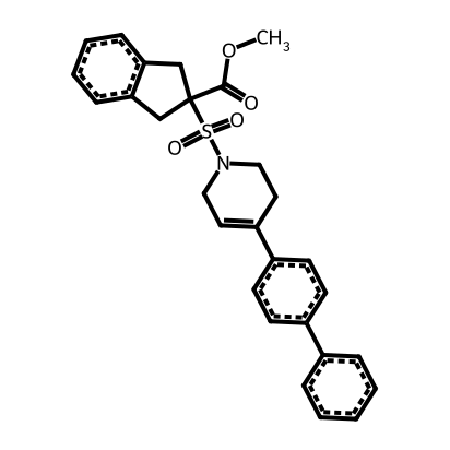 COC(=O)C1(S(=O)(=O)N2CC=C(c3ccc(-c4ccccc4)cc3)CC2)Cc2ccccc2C1